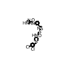 O=C(CSc1nc(-c2cccc(NC(=O)c3c[nH]cn3)c2)cs1)NC1CCN(Cc2ccc(Cl)c(Cl)c2)CC1